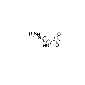 BN=Nc1ccc2c(C3CC(=O)N(C)C3=O)c[nH]c2c1